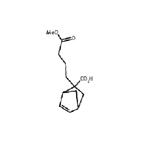 COC(=O)CCCC1(C(=O)O)CC2C=CC1C2